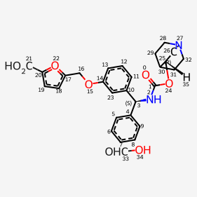 O=C(N[C@@H](c1ccccc1)c1cccc(OCc2ccc(C(=O)O)o2)c1)O[C@H]1CN2CCC1CC2.O=CO